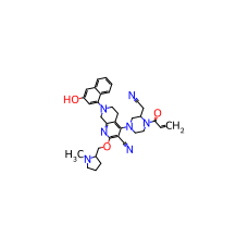 C=CC(=O)N1CCN(c2c(C#N)c(OCC3CCCN3C)nc3c2CCN(c2cc(O)cc4ccccc24)C3)CC1CC#N